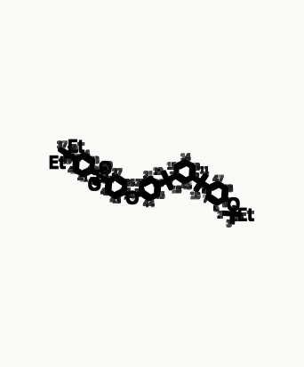 CCC(C)(C)Oc1ccc(C(C)(C)c2cccc(C(C)(C)c3ccc(Oc4ccc(S(=O)(=O)c5ccc(C(C)(CC)CC)cc5)cc4)cc3)c2)cc1